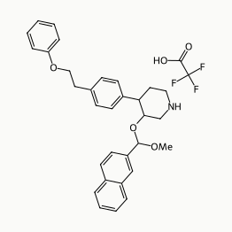 COC(OC1CNCCC1c1ccc(CCOc2ccccc2)cc1)c1ccc2ccccc2c1.O=C(O)C(F)(F)F